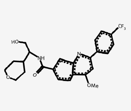 COc1cc(-c2ccc(C(F)(F)F)cc2)nc2cc(C(=O)NC(CO)C3CCOCC3)ccc12